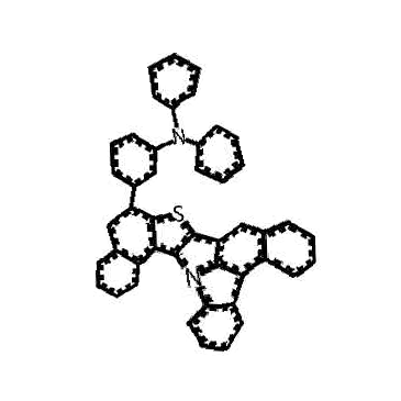 c1ccc(N(c2ccccc2)c2cccc(-c3cc4ccccc4c4c3sc3c5cc6ccccc6c6c7ccccc7n(c56)c34)c2)cc1